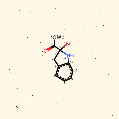 COC(=O)C1(Br)Cc2ccccc2N1